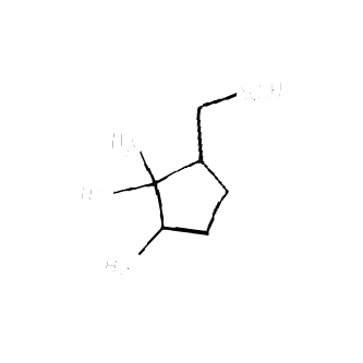 CC1CCC(CS(=O)(=O)O)C1(C)C